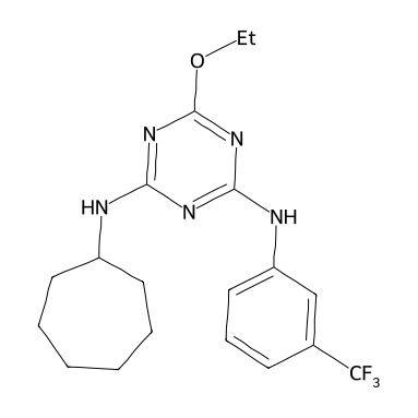 CCOc1nc(Nc2cccc(C(F)(F)F)c2)nc(NC2CCCCCC2)n1